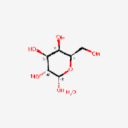 O.OC[C@H]1O[C@H](O)[C@H](O)[C@@H](O)[C@H]1O